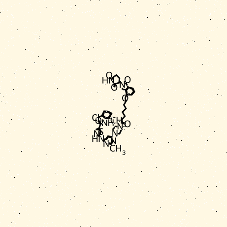 Cc1nc(Nc2ncc(C(=O)Nc3c(C)cccc3Cl)s2)cc(N2CCN(C(=O)CCCCCCOc3cccc4c3CN(C3CCC(=O)NC3=O)C4=O)CC2)n1